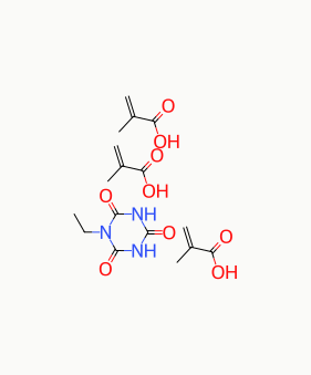 C=C(C)C(=O)O.C=C(C)C(=O)O.C=C(C)C(=O)O.CCn1c(=O)[nH]c(=O)[nH]c1=O